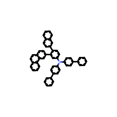 c1ccc(-c2ccc(N(c3ccc(-c4ccccc4)cc3)c3ccc(-c4ccc5ccccc5c4)c(-c4ccc5ccc6ccccc6c5c4)c3)cc2)cc1